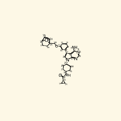 Nc1ncnc2c1c(-c1cccc(OCC34CCC(CC3)O4)c1)cn2[C@H]1CC[C@H](NC(=O)C2CC2)CC1